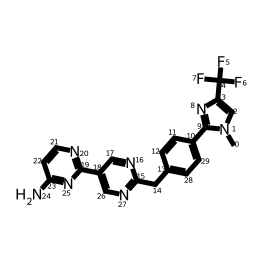 Cn1cc(C(F)(F)F)nc1-c1ccc(Cc2ncc(-c3nccc(N)n3)cn2)cc1